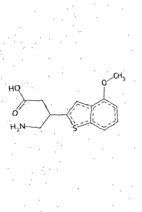 COc1cccc2sc(C(CN)CC(=O)O)cc12